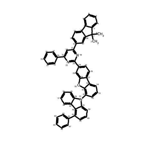 CC1(C)c2ccccc2-c2ccc(-c3cc(-c4ccccc4)nc(-c4ccc5c(c4)oc4c(-n6c7ccccc7c7c(-c8ccccc8)cccc76)cccc45)n3)cc21